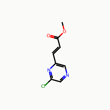 COC(=O)C=Cc1cncc(Cl)n1